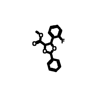 COC(=O)C1OC(c2ccccc2)OC1c1ccccc1F